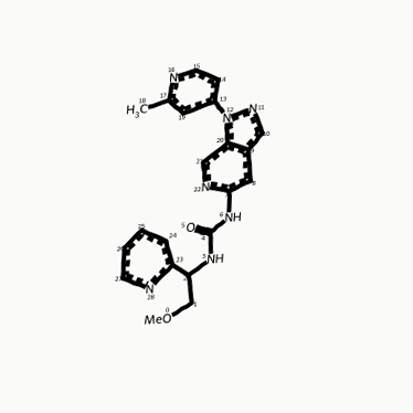 COCC(NC(=O)Nc1cc2cnn(-c3ccnc(C)c3)c2cn1)c1ccccn1